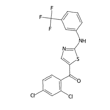 O=C(c1cnc(Nc2cccc(C(F)(F)F)c2)s1)c1ccc(Cl)cc1Cl